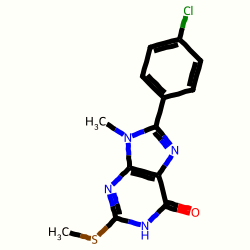 CSc1nc2c(nc(-c3ccc(Cl)cc3)n2C)c(=O)[nH]1